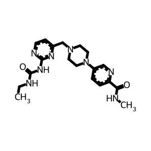 CCNC(=O)Nc1nccc(CN2CCN(c3ccc(C(=O)NC)nc3)CC2)n1